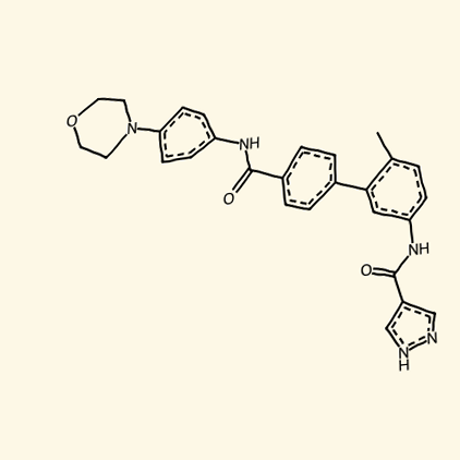 Cc1ccc(NC(=O)c2cn[nH]c2)cc1-c1ccc(C(=O)Nc2ccc(N3CCOCC3)cc2)cc1